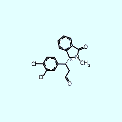 CN1C(=O)c2ccccc2[C@H]1C(CC=O)c1ccc(Cl)c(Cl)c1